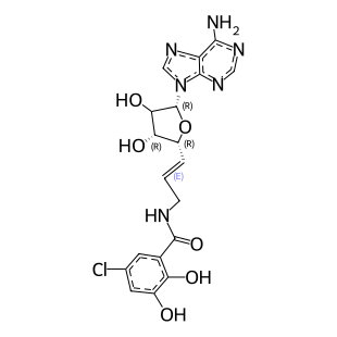 Nc1ncnc2c1ncn2[C@@H]1O[C@H](/C=C/CNC(=O)c2cc(Cl)cc(O)c2O)[C@H](O)C1O